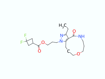 CCc1nn(CCCOC(=O)C2CC(F)(F)C2)c2c1C(=O)NCCCOCCC2